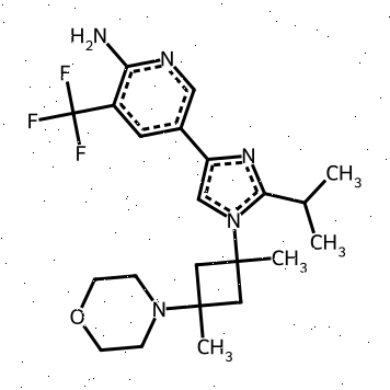 CC(C)c1nc(-c2cnc(N)c(C(F)(F)F)c2)cn1C1(C)CC(C)(N2CCOCC2)C1